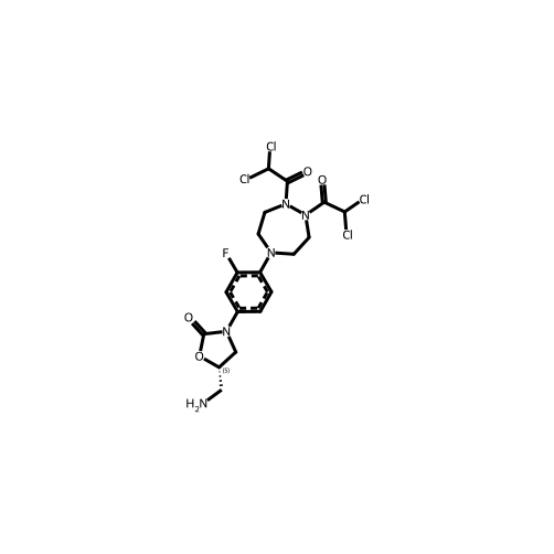 NC[C@H]1CN(c2ccc(N3CCN(C(=O)C(Cl)Cl)N(C(=O)C(Cl)Cl)CC3)c(F)c2)C(=O)O1